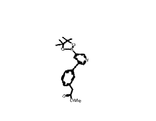 COC(=O)Cc1cccc(-c2cncc(B3OC(C)(C)C(C)(C)O3)c2)c1